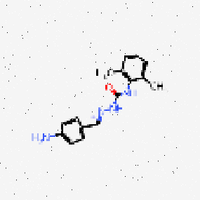 Cc1cccc(C)c1NC(=O)N/N=C/c1ccc(N)cc1